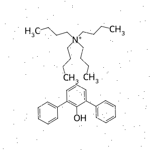 CCCC[N+](CCCC)(CCCC)CCCC.Oc1c(-c2ccccc2)cccc1-c1ccccc1